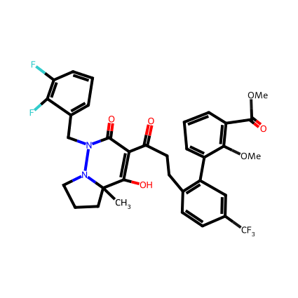 COC(=O)c1cccc(-c2cc(C(F)(F)F)ccc2CCC(=O)C2=C(O)C3(C)CCCN3N(Cc3cccc(F)c3F)C2=O)c1OC